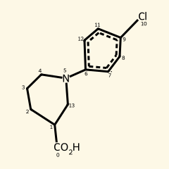 O=C(O)C1CCCN(c2[c]cc(Cl)cc2)C1